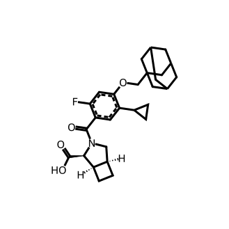 O=C(O)[C@@H]1[C@@H]2CC[C@@H]2CN1C(=O)c1cc(C2CC2)c(OCC23CC4CC(CC(C4)C2)C3)cc1F